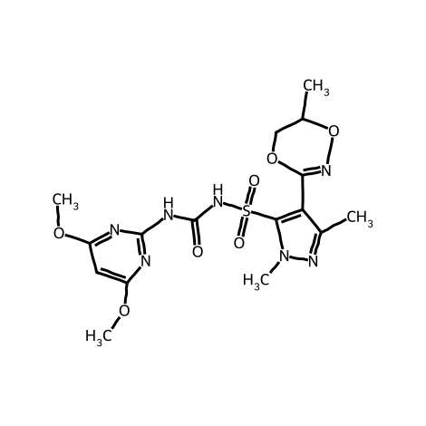 COc1cc(OC)nc(NC(=O)NS(=O)(=O)c2c(C3=NOC(C)CO3)c(C)nn2C)n1